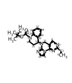 CSc1ncc2c(n1)-n1ccnc1N(C1CCN(C(=O)OC(C)(C)C)c3ccccc31)C2